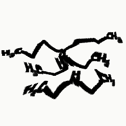 CCCNCCC.CCNCC.CCNCC